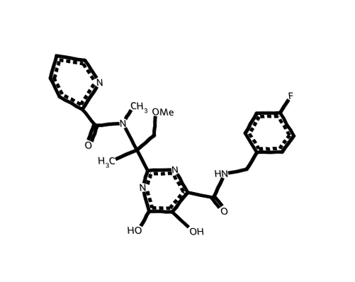 COCC(C)(c1nc(O)c(O)c(C(=O)NCc2ccc(F)cc2)n1)N(C)C(=O)c1ccccn1